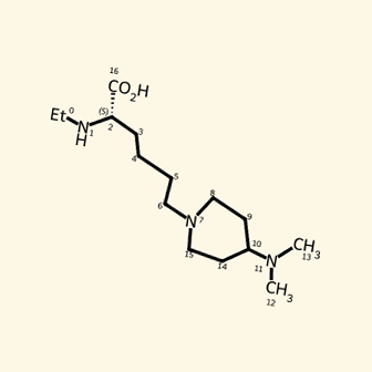 CCN[C@@H](CCCCN1CCC(N(C)C)CC1)C(=O)O